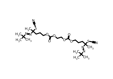 CC(C)(C)N=NC(C)(CCCOC(=O)OCCOC(=O)OCCCC(C)(N=NC(C)(C)C)SC#N)SC#N